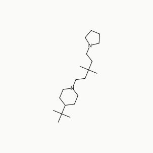 CC(C)(CCN1CCCC1)CCN1CCC(C(C)(C)C)CC1